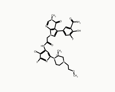 COCCN1CCN(c2cc(NC(=O)Cn3cc(-c4cc(F)c(O)c(C(N)=O)c4)c4c(=O)n(C)cnc43)c(Cl)c(F)n2)[C@@H](C)C1